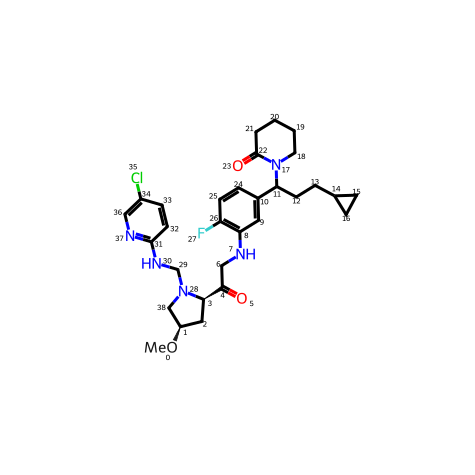 CO[C@@H]1C[C@H](C(=O)CNc2cc(C(CCC3CC3)N3CCCCC3=O)ccc2F)N(CNc2ccc(Cl)cn2)C1